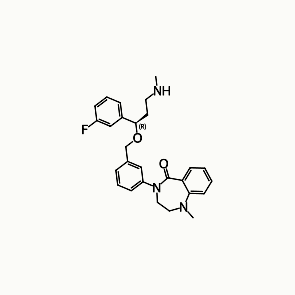 CNCC[C@@H](OCc1cccc(N2CCN(C)c3ccccc3C2=O)c1)c1cccc(F)c1